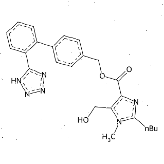 CCCCc1nc(C(=O)OCc2ccc(-c3ccccc3-c3nnn[nH]3)cc2)c(CO)n1C